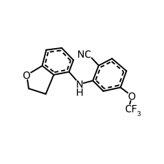 N#Cc1ccc(OC(F)(F)F)cc1Nc1cccc2c1CCO2